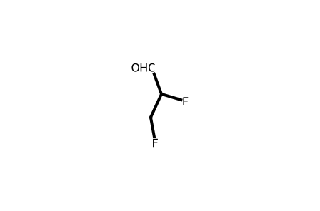 O=CC(F)CF